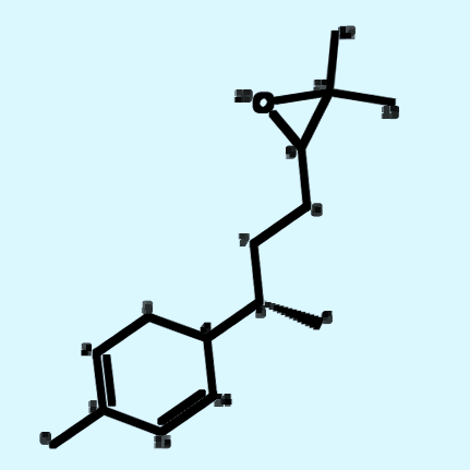 CC1=CCC([C@@H](C)CCC2OC2(C)C)C=C1